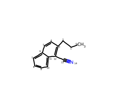 CCCc1ccc2ccccc2c1C#N